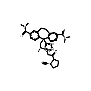 C[C@@H](CC1(c2nnn[nH]2)c2ccc(C(=O)N(C)C)cc2CCc2cc(C(=O)N(C)C)ccc21)NCC(=O)C1CCC[C@H]1C#N